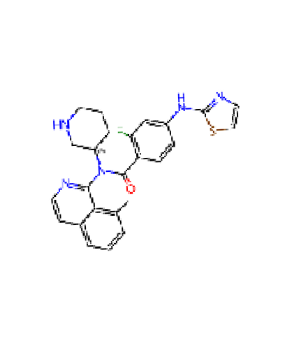 Cc1cccc2ccnc(N(C(=O)c3ccc(Nc4nccs4)cc3F)[C@@H]3CCCNC3)c12